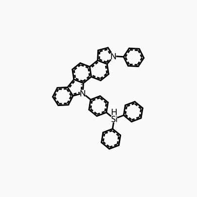 c1ccc(-n2ccc3c4ccc5c6ccccc6n(-c6ccc([SiH](c7ccccc7)c7ccccc7)cc6)c5c4ccc32)cc1